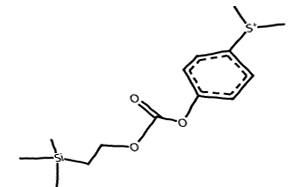 C[S+](C)c1ccc(OC(=O)OCC[Si](C)(C)C)cc1